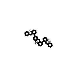 c1ccc2nc3cccc(-c4ccc5nc6cccc(-c7cccc8nc9ccccc9cc78)c6cc5c4)c3cc2c1